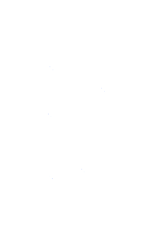 Nc1cnc(-c2ccnc3[nH]ccc23)c2c1C(=O)NC2